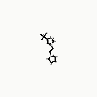 CC(C)(C)c1cn(CCN2CCCC2)cn1